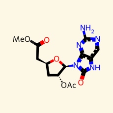 COC(=O)C[C@@H]1C[C@@H](OC(C)=O)[C@H](n2c(=O)[nH]c3cnc(N)nc32)O1